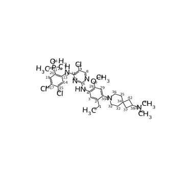 CCc1cc(Nc2ncc(Cl)c(Nc3cc(Cl)c(Cl)cc3P(C)(C)=O)n2)c(OC)cc1N1CCC2(CC1)CC(N(C)C)C2